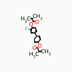 C=C(C)C(=O)OC1=CCC(c2ccc(OC(=O)C(=C)C)c(F)c2)C=C1